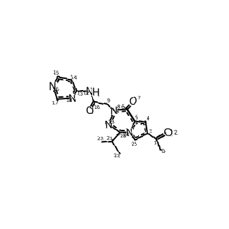 CC(=O)c1cc2c(=O)n(CC(=O)Nc3ccncn3)nc(C(C)C)n2c1